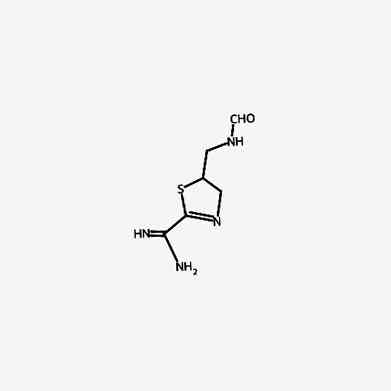 N=C(N)C1=NCC(CNC=O)S1